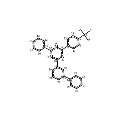 CC(C)(C)c1ccc(-c2nc(-c3ccccc3)nc(-c3cccc(-c4ccccc4)c3)n2)cc1